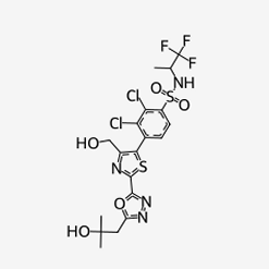 CC(NS(=O)(=O)c1ccc(-c2sc(-c3nnc(CC(C)(C)O)o3)nc2CO)c(Cl)c1Cl)C(F)(F)F